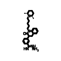 C[C@@H]1CCC[C@H](C)N1CCCCCN1C(=O)C(c2cccc(C(=N)NN)c2)Cc2ccccc21